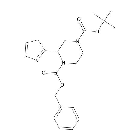 CC(C)(C)OC(=O)N1CCN(C(=O)OCc2ccccc2)C(C2=NC=CC2)C1